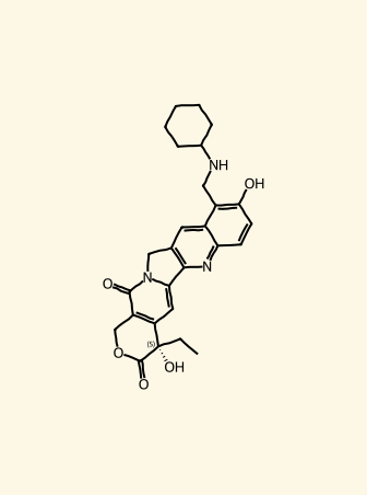 CC[C@@]1(O)C(=O)OCc2c1cc1n(c2=O)Cc2cc3c(CNC4CCCCC4)c(O)ccc3nc2-1